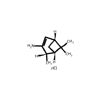 C[C@@H]1C(N)=C[C@H]2C[C@@H]1C2(C)C.Cl